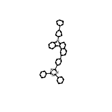 c1ccc(-c2ccc(-n3c4ccccc4c4c5cc(-c6ccc(-c7nc(-c8ccccc8)nc(-c8ccccc8)n7)cc6)ccc5ccc43)cc2)cc1